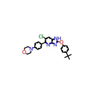 CC(C)(C)c1ccc(Oc2nc3nc(-c4ccc(N5CCOCC5)cc4)c(Cl)cc3[nH]2)cc1